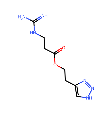 N=C(N)NCCC(=O)OCCc1c[nH]nn1